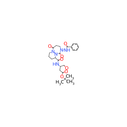 CC(C)(C)OC(=O)CC(C=O)NC(=O)C1CCCN2C(=O)CCN(NC(=O)c3ccccc3)C(=O)N12